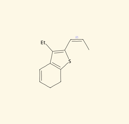 C/C=C\c1sc2c(c1CC)C=CCC2